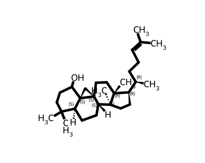 CC(C)=CCC[C@@H](C)[C@H]1CC[C@@]2(C)[C@@H]3CC[C@H]4C(C)(C)CCC(O)[C@@]45C[C@@]35CC[C@]12C